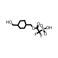 O=C(OCC1CCC(CO)CC1)C(F)(F)S(=O)(=O)O